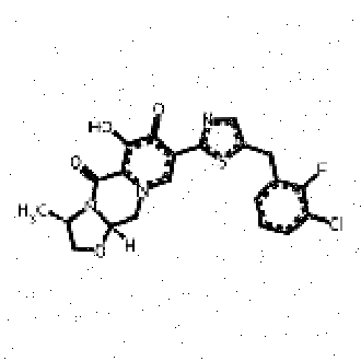 C[C@@H]1CO[C@H]2Cn3cc(-c4ncc(Cc5cccc(Cl)c5F)s4)c(=O)c(O)c3C(=O)N12